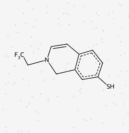 FC(F)(F)CN1C=Cc2ccc(S)cc2C1